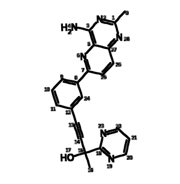 Cc1nc(N)c2nc(-c3cccc(C#CC(C)(O)c4ncccn4)c3)ccc2n1